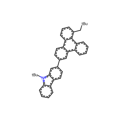 CC(C)(C)Cc1cccc2c3ccc(-c4ccc5c6ccccc6n(C(C)(C)C)c5c4)cc3c3ccccc3c12